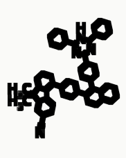 CC1(C)c2cc(C#N)ccc2-c2c(-c3ccc(-c4ccc5ccccc5c4-c4ccc(C5=NC(c6ccccc6)NC(c6ccccc6)=N5)cc4)cc3)cccc21